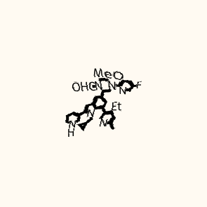 CCc1cc(C)ncc1-c1cc(C2CN(c3ncc(F)cc3OC)CCN2C=O)cc2cc(C3=CCCNC3)n(CC3CC3)c12